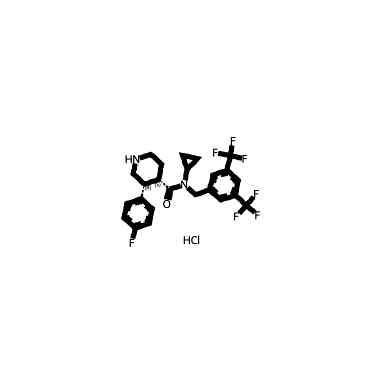 Cl.O=C([C@H]1CCNC[C@H]1c1ccc(F)cc1)N(Cc1cc(C(F)(F)F)cc(C(F)(F)F)c1)C1CC1